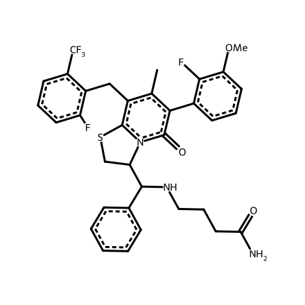 COc1cccc(-c2c(C)c(Cc3c(F)cccc3C(F)(F)F)c3n(c2=O)C(C(NCCCC(N)=O)c2ccccc2)CS3)c1F